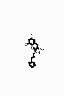 CC(=O)C(=Cc1cc(Cl)cc(Cl)c1)C(=O)NCC=Cc1ccccc1